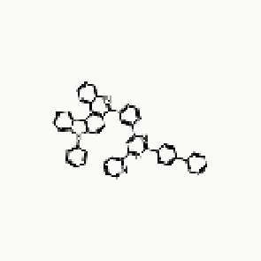 c1ccc(-c2ccc(-c3nc(-c4cccc(-c5nc6ccccc6c6c5ccc5c6c6ccccc6n5-c5ccccc5)c4)cc(-c4ccccn4)n3)cc2)cc1